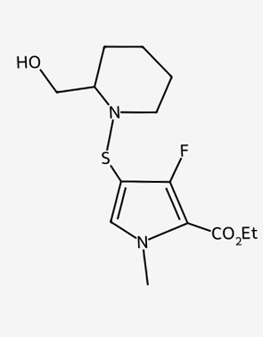 CCOC(=O)c1c(F)c(SN2CCCCC2CO)cn1C